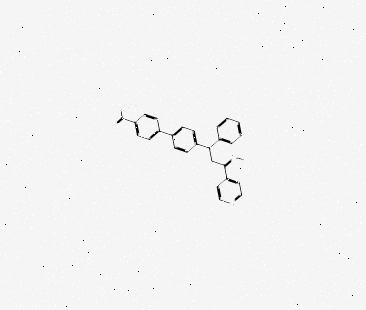 COC(=O)c1ccc(-c2ccc(C(CC(=NO)c3ccncc3)c3ccccc3)cc2)cc1